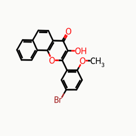 COc1ccc(Br)cc1-c1oc2c(ccc3ccccc32)c(=O)c1O